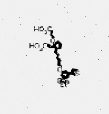 CCS(=O)(=O)c1cc(OCCCCCCc2cccc(OCCCC(=O)O)c2CCC(=O)O)cc(-c2ccsc2)c1